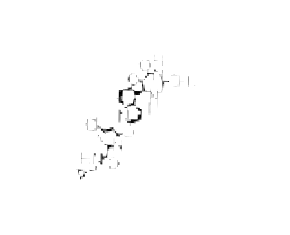 CC1CNc2c(oc3ccc4nc(Oc5cc(Cl)nc(C(=O)NCC6CC6)n5)ccc4c23)C(=O)N1